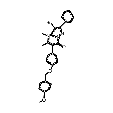 COc1ccc(COc2ccc(-c3c(C)n(C)c4c(Br)c(-c5ccccc5)nn4c3=O)cc2)cc1